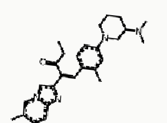 CCC(=O)/C(=C\c1ccc(N2CCCC(N(C)C)C2)cc1C)c1cn2cc(C)ccc2n1